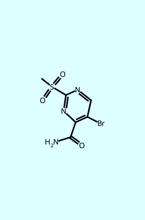 CS(=O)(=O)c1ncc(Br)c(C(N)=O)n1